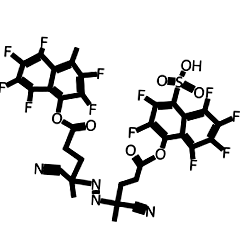 Cc1c(F)c(F)c(OC(=O)CCC(C)(C#N)N=NC(C)(C#N)CCC(=O)Oc2c(F)c(F)c(S(=O)(=O)O)c3c(F)c(F)c(F)c(F)c23)c2c(F)c(F)c(F)c(F)c12